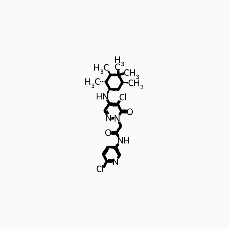 C[C@@H]1[C@@H](C)C(C)(C)[C@@H](C)C[C@H]1Nc1cnn(CC(=O)Nc2ccc(Cl)nc2)c(=O)c1Cl